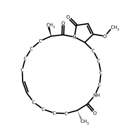 COC1=CC(=O)N2C(=O)[C@H](C)CCCCC=CCCCC[C@@H](C)C(=O)NCCCCC12